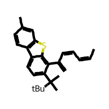 C=C(/C=C\C=C/C)c1c(C(C)(C)C(C)(C)C)ccc2c1sc1cc(C)ccc12